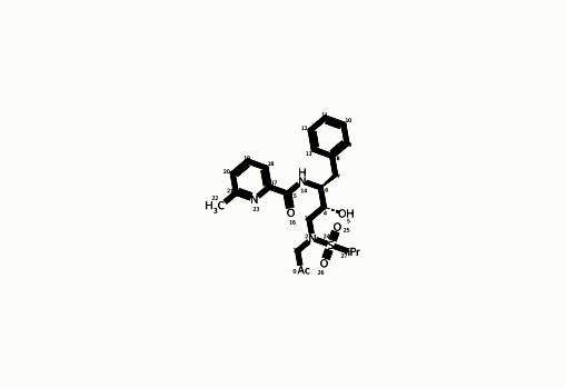 CC(=O)CN(C[C@@H](O)[C@H](Cc1ccccc1)NC(=O)c1cccc(C)n1)S(=O)(=O)C(C)C